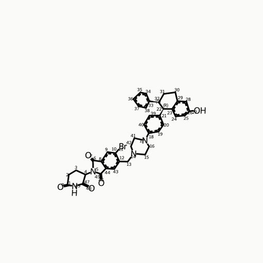 O=C1CCC(N2C(=O)c3cc(Br)c(CN4CCN(c5ccc([C@@H]6c7ccc(O)cc7CC[C@@H]6c6ccccc6)cc5)CC4)cc3C2=O)C(=O)N1